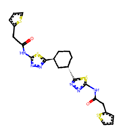 O=C(Cc1cccs1)Nc1nnc([C@H]2CCC[C@H](c3nnc(NC(=O)Cc4cccs4)s3)C2)s1